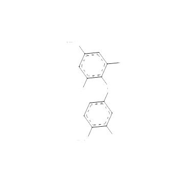 O=Cc1cc(F)c(Oc2ccc(C(F)(F)F)c(F)c2)c(F)c1